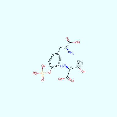 C[C@@H](O)[C@H](N)C(=O)O.N[C@@H](Cc1ccc(OP(=O)(O)O)cc1)C(=O)O